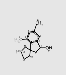 Cc1cc(C)c2c(c1)C(O)CC21CCNC1